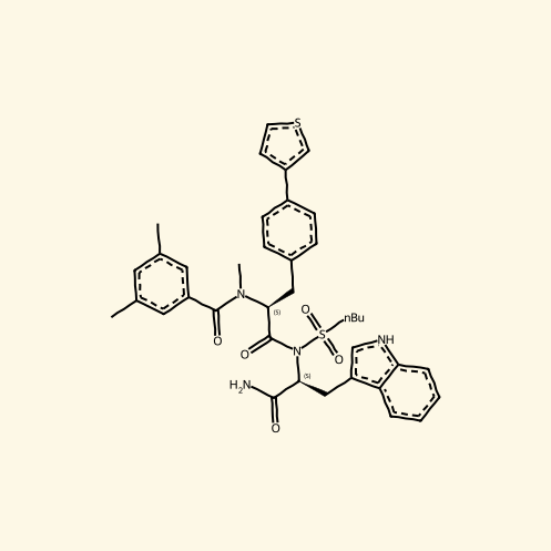 CCCCS(=O)(=O)N(C(=O)[C@H](Cc1ccc(-c2ccsc2)cc1)N(C)C(=O)c1cc(C)cc(C)c1)[C@@H](Cc1c[nH]c2ccccc12)C(N)=O